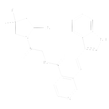 N#CC1CC(F)(F)CN1C(=O)CNC(=O)c1ccncc1/C=C/c1c[nH]c2ccccc12